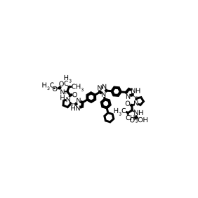 COC(=O)N[C@H](C(=O)N1CCC[C@H]1c1nc(-c2ccc(-c3nnc(-c4ccc(-c5c[nH]c([C@@H]6CCCN6C(=O)[C@@H](NC(=O)O)C(C)C)n5)cc4)n3-c3ccc(C4CCCCC4)cc3)cc2)c[nH]1)C(C)C